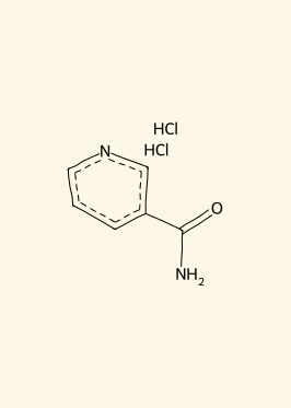 Cl.Cl.NC(=O)c1cccnc1